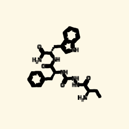 CC[C@@H](N)C(=O)NNC(=O)N[C@@H](Cc1ccccc1)C(=O)N[C@@H](Cc1c[nH]c2ccccc12)C(N)=O